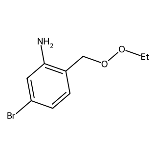 CCOOCc1ccc(Br)cc1N